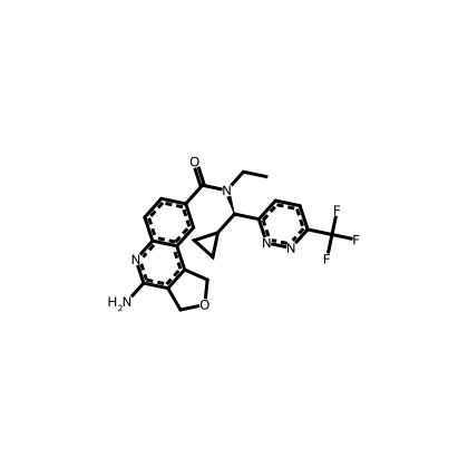 CCN(C(=O)c1ccc2nc(N)c3c(c2c1)COC3)[C@@H](c1ccc(C(F)(F)F)nn1)C1CC1